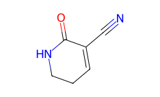 N#CC1=CCCNC1=O